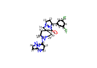 O=C1N2[C@H](c3cc(F)cc(F)c3)CCN2CC12CCN(c1ccnc3ccnn13)CC2